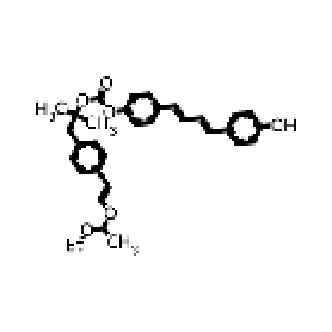 CCOC(C)OC=Cc1ccc(CC(C)(C)OC(=O)Oc2ccc(C=CC=Cc3ccc(O)cc3)cc2)cc1